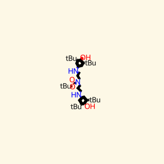 CC(C)(C)OC(=O)N(CCCNc1cc(C(C)(C)C)c(O)c(C(C)(C)C)c1)CCCNc1cc(C(C)(C)C)c(O)c(C(C)(C)C)c1